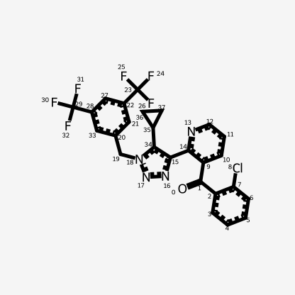 O=C(c1ccccc1Cl)c1cccnc1-c1nnn(Cc2cc(C(F)(F)F)cc(C(F)(F)F)c2)c1C1CC1